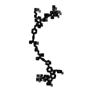 CCCSc1nc(NCCNC(=O)OC(C)(C)C)c2nnn(Cc3ccc(C#CC(=O)NCCOCCNC(=O)C#Cc4csc(-c5ccc6c7cc(CN(C)C(=O)OC(C)(C)C)ccc7n(CC)c6c5)c4)cc3)c2n1